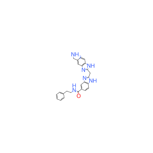 NCc1ccc2[nH]c(Cc3nc4cc(C(=O)NCCc5ccccc5)ccc4[nH]3)nc2c1